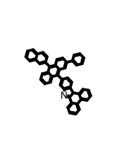 c1ccc(-c2ccc3c(-c4ccc5ccccc5c4)c4ccccc4c(-c4ccc5c(c4)N=C4c6ccccc6-c6ccccc6C45)c3c2)cc1